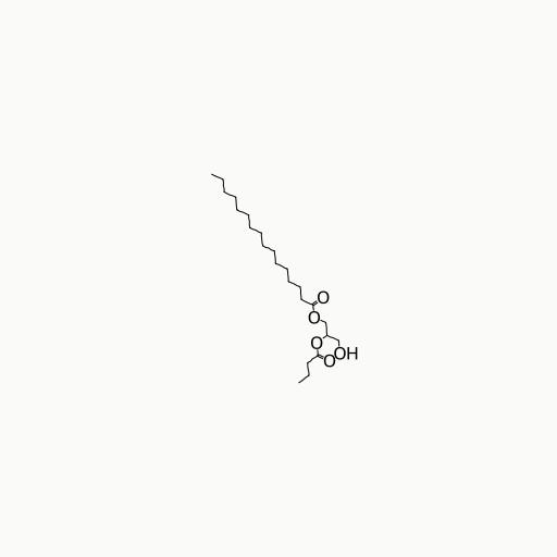 CCCCCCCCCCCCCCCC(=O)OCC(CO)OC(=O)CCC